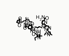 CCc1nc(C)oc1C(=O)Nc1nc2cc(C(N)=O)cc(OCCCN(C)C(=O)CCN3C(=O)C=CC3=O)c2n1C/C=C/Cn1c2ccc(C(N)=O)nc2c2cnc(-c3cc(C)nn3CC)nc21